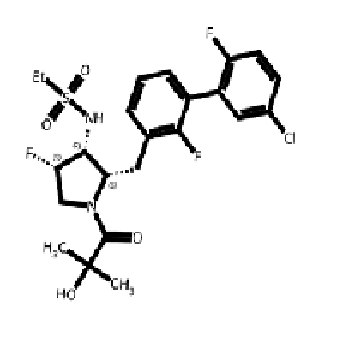 CCS(=O)(=O)N[C@H]1[C@@H](F)CN(C(=O)C(C)(C)O)[C@H]1Cc1cccc(-c2cc(Cl)ccc2F)c1F